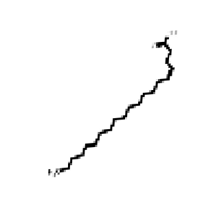 CCCC/C=C/CCCCCCCCC/C=C\CCC(=O)O